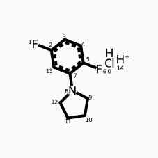 Cl.Fc1ccc(F)c(N2CCCC2)c1.[H+]